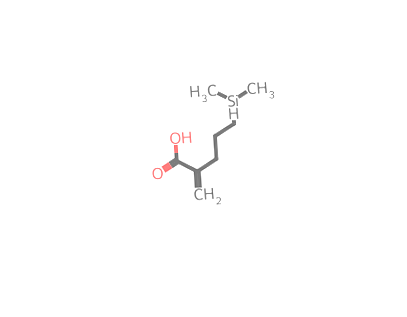 C=C(CCC[SiH](C)C)C(=O)O